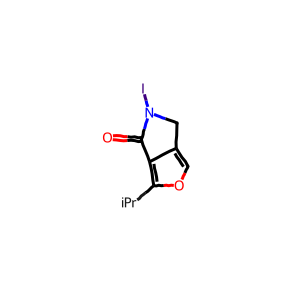 CC(C)c1occ2c1C(=O)N(I)C2